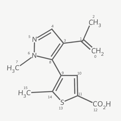 C=C(C)c1cnn(C)c1-c1cc(C(=O)O)sc1C